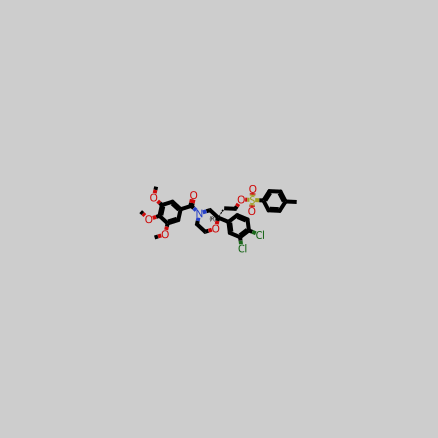 COc1cc(C(=O)N2CCO[C@](CCOS(=O)(=O)c3ccc(C)cc3)(c3ccc(Cl)c(Cl)c3)C2)cc(OC)c1OC